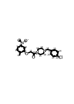 Cc1ccc([N+](=O)[O-])cc1OCC(=O)N1CCN(Cc2ccc(Cl)cc2)CC1